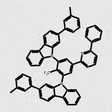 Cc1cccc(-c2ccc3c4ccccc4n(-c4cc(-c5cccc(-c6ccccc6)n5)cc(-n5c6ccccc6c6ccc(-c7cccc(C)c7)cc65)c4C(F)(F)F)c3c2)c1